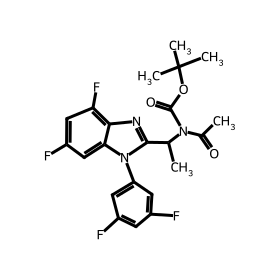 CC(=O)N(C(=O)OC(C)(C)C)C(C)c1nc2c(F)cc(F)cc2n1-c1cc(F)cc(F)c1